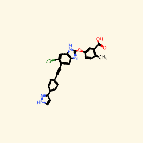 Cc1ccc(Oc2nc3cc(C#Cc4ccc(-c5cc[nH]n5)cc4)c(Cl)cc3[nH]2)cc1C(=O)O